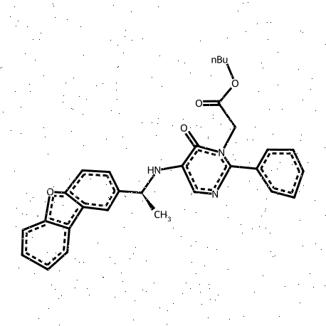 CCCCOC(=O)Cn1c(-c2ccccc2)ncc(N[C@@H](C)c2ccc3oc4ccccc4c3c2)c1=O